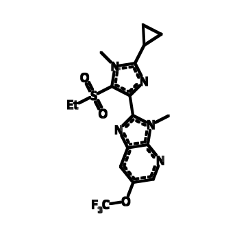 CCS(=O)(=O)c1c(-c2nc3cc(OC(F)(F)F)cnc3n2C)nc(C2CC2)n1C